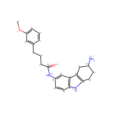 COc1cccc(CCCC(=O)Nc2ccc3[nH]c4c(c3c2)CC(N)CC4)c1